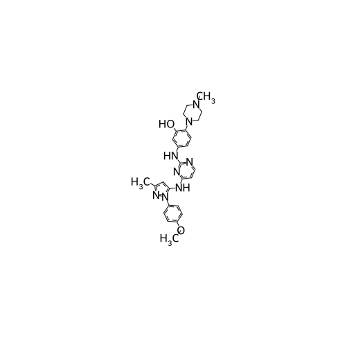 COc1ccc(-n2nc(C)cc2Nc2ccnc(Nc3ccc(N4CCN(C)CC4)c(O)c3)n2)cc1